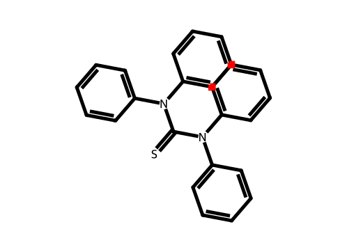 S=C(N(c1ccccc1)c1ccccc1)N(c1ccccc1)c1ccccc1